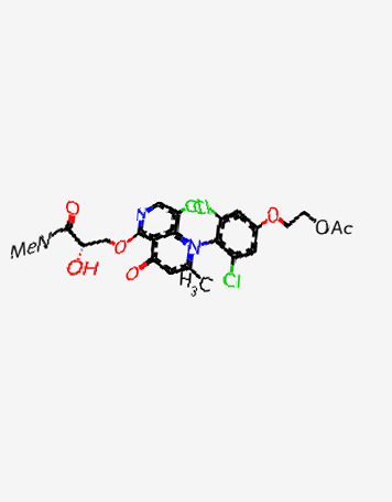 CNC(=O)[C@@H](O)COc1ncc(Cl)c2c1c(=O)cc(C)n2-c1c(Cl)cc(OCCOC(C)=O)cc1Cl